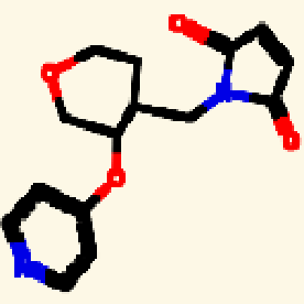 O=C1C=CC(=O)N1CC1CCOCC1Oc1ccncc1